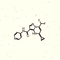 O=C(Nc1ccncc1)c1cnn2c1NC(=C1C=C1)C=C2C(F)F